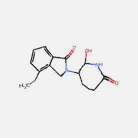 CCc1cccc2c1CN(C1CCC(=O)NC1O)C2=O